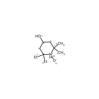 CCC1(CC)CC(O)CC(C)(C)[NH+]1[O-]